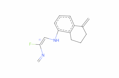 C=N/C(F)=C\Nc1cccc2c1CCCC2=C